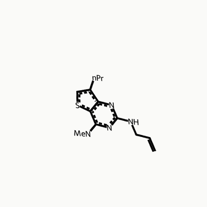 C=CCNc1nc(NC)c2scc(CCC)c2n1